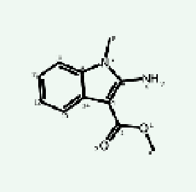 COC(=O)c1c(N)n(C)c2ccccc12